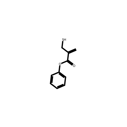 C=C(CS)C(=O)Oc1ccccc1